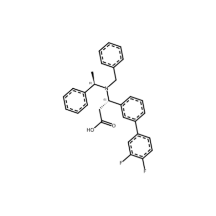 C[C@H](c1ccccc1)N(Cc1ccccc1)[C@@H](CC(=O)O)c1cccc(-c2ccc(F)c(F)c2)c1